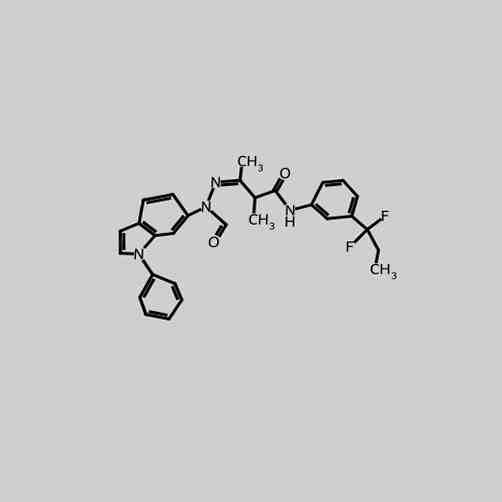 CCC(F)(F)c1cccc(NC(=O)C(C)/C(C)=N\N(C=O)c2ccc3ccn(-c4ccccc4)c3c2)c1